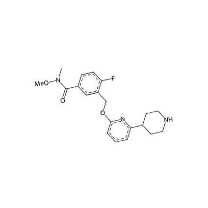 CON(C)C(=O)c1ccc(F)c(COc2cccc(C3CCNCC3)n2)c1